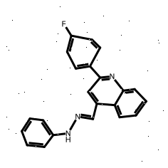 Fc1ccc(-c2cc(/C=N/Nc3ccccc3)c3ccccc3n2)cc1